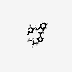 Cc1cc(Nc2nc([SH]3C=CC(NC(=O)OC(C)(C)C)=C3)nc3ccccc23)[nH]n1